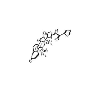 C[C@@H]1C[C@H]2[C@@H]3CCC4=CC(=O)C=C[C@]4(C)[C@@]3(F)[C@@H](O)C[C@]2(C)[C@@]1(O)c1csc(NC(=O)c2cncs2)n1